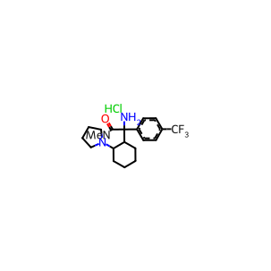 CNC(=O)C(N)(c1ccc(C(F)(F)F)cc1)C1CCCCC1N1CCCC1.Cl